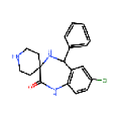 O=C1Nc2ccc(Cl)cc2C(c2ccccc2)NC12CCNCC2